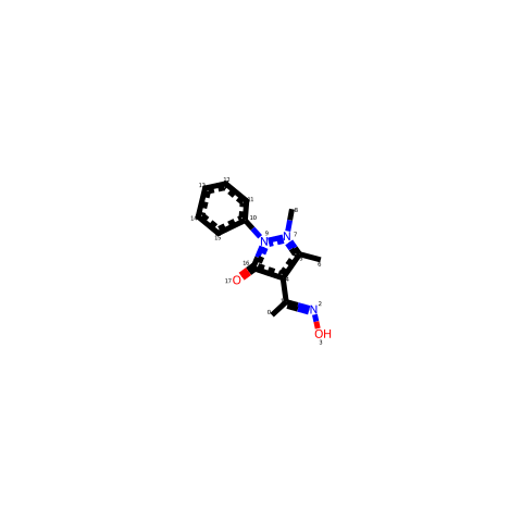 CC(=NO)c1c(C)n(C)n(-c2ccccc2)c1=O